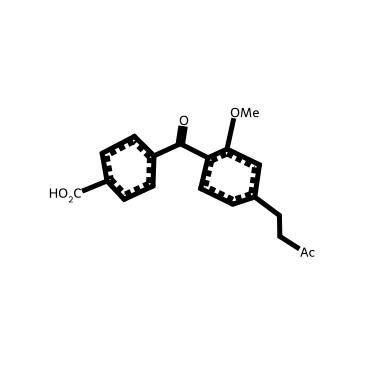 COc1cc(CCC(C)=O)ccc1C(=O)c1ccc(C(=O)O)cc1